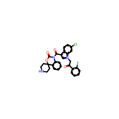 O=C(Cn1cc(C(=O)N2C(=O)OC3(CCNCC3)c3ccccc32)c2ccc(Cl)cc21)c1ccccc1F